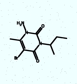 CCC(C)n1c(=O)c(Br)c(C)n(N)c1=O